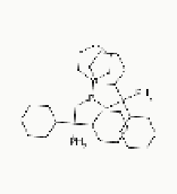 PC(CP(CC(P)(C1CCCCC1)C1CCCCC1)C1CCCCC1)(C1CCCCC1)C1CCCCC1